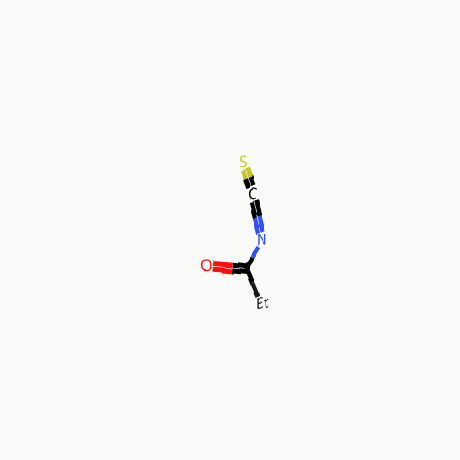 CCC(=O)N=C=S